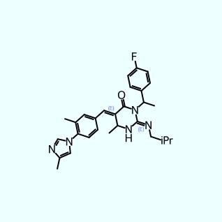 Cc1cn(-c2ccc(/C=C3/C(=O)N(C(C)c4ccc(F)cc4)/C(=N/CC(C)C)NC3C)cc2C)cn1